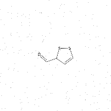 O=CC1C=CSS1